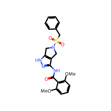 COc1cccc(OC)c1C(=O)Nc1n[nH]c2c1CN(S(=O)(=O)Cc1ccccc1)C2